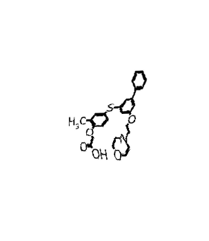 Cc1cc(Sc2cc(OCCN3CCOCC3)cc(-c3ccccc3)c2)ccc1OCC(=O)O